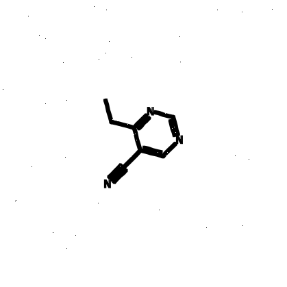 CCc1ncncc1C#N